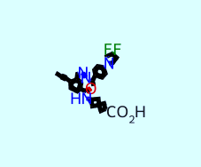 CC#Cc1ccc(C(=O)NC2CC3(C2)CC(C(=O)O)C3)c2c1cnn2C(C)c1ccc(N2CCC(F)(F)C2)cc1